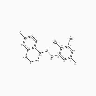 Cc1ccc2c(c1)OCCN2COc1cc(C)cc(O)c1O